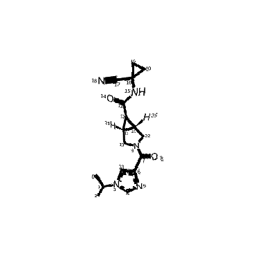 CC(C)n1cnc(C(=O)N2C[C@@H]3C(C(=O)NC4(C#N)CC4)[C@@H]3C2)c1